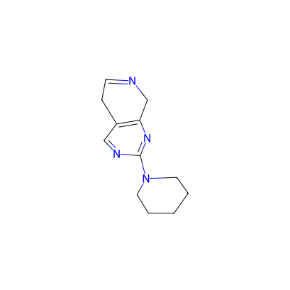 C1=NCc2nc(N3CCCCC3)ncc2C1